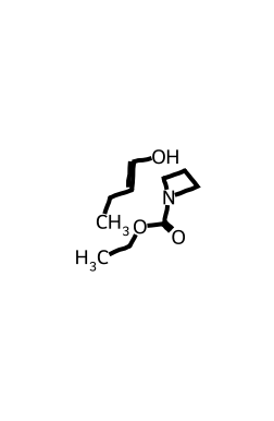 CCC=CO.CCOC(=O)N1CCC1